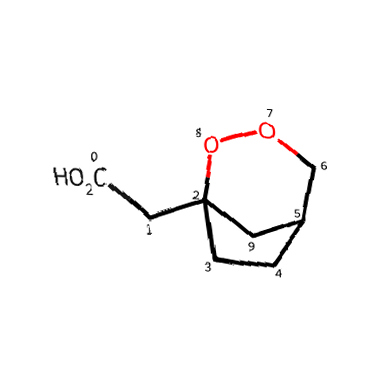 O=C(O)CC12CCC(COO1)C2